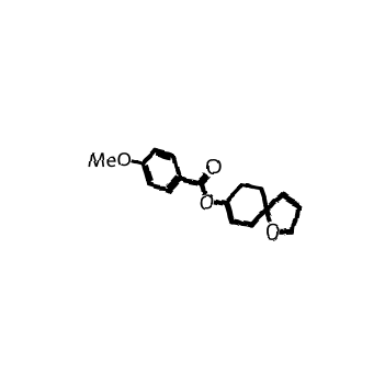 COc1ccc(C(=O)OC2CCC3(CCCO3)CC2)cc1